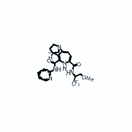 COCC(NC(=O)C1=CC=C2C(=C(C(=O)Nc3ccccn3)N1)[C@@H]1CCN2C1)C(F)(F)F